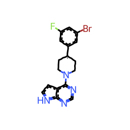 Fc1cc(Br)cc([C]2CCN(c3ncnc4[nH]ccc34)CC2)c1